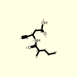 C#CC(CC(=O)O)NC(=O)C(C)CCC